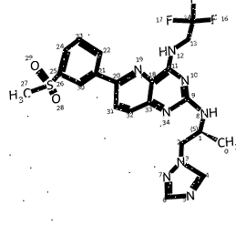 C[C@@H](Cn1cncn1)Nc1nc(NCC(F)(F)F)c2nc(-c3cccc(S(C)(=O)=O)c3)ccc2n1